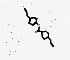 C=CCc1ccc(OC(=O)C2CCC(CC=C)CC2)cc1